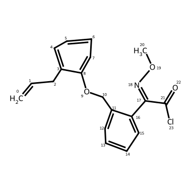 C=CCc1ccccc1OCc1ccccc1C(=NOC)C(=O)Cl